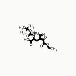 CCOC(=O)c1onc(O)c1CC(NC(=O)OC(C)(C)C)C(=O)O